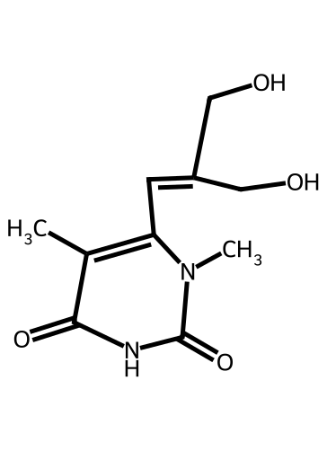 Cc1c(C=C(CO)CO)n(C)c(=O)[nH]c1=O